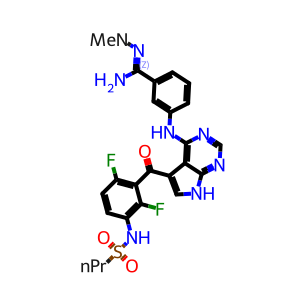 CCCS(=O)(=O)Nc1ccc(F)c(C(=O)c2c[nH]c3ncnc(Nc4cccc(/C(N)=N/NC)c4)c23)c1F